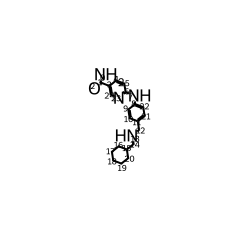 NC(=O)c1ccc(Nc2ccc(CNCC3CCCCC3)cc2)nc1